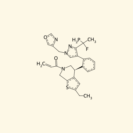 C=CC(=O)N1Cc2sc(CC)cc2[C@H](c2ccccc2-c2cn(Cc3cocn3)nc2C(C)(F)P)C1